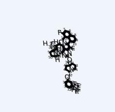 C#Cc1c(F)ccc2cccc(-c3nc4c5c(nc(OC[C@@]67CCCN6[C@H](COc6cccc(S(F)(F)(F)(F)F)c6)CC7)nc5c3F)N3C[C@H]5CC[C@H](N5)[C@@H]3[C@@H](C)C4)c12